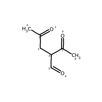 CC(=O)CC([C]=O)C(C)=O